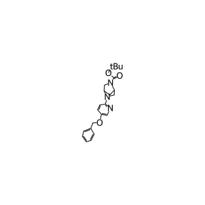 CC(C)(C)OC(=O)N1CC2CC1CN2c1ccc(OCc2ccccc2)cn1